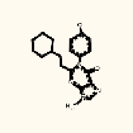 Cn1cnc2c(=O)n(-c3ccc(Cl)cc3)c(CCC3CCCCC3)nc21